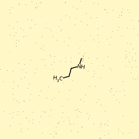 [C]NCCC